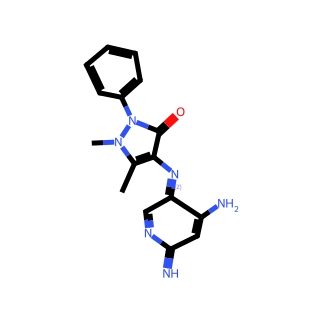 Cc1c(/N=C2\C=NC(=N)C=C2N)c(=O)n(-c2ccccc2)n1C